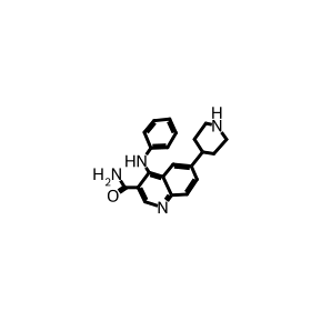 NC(=O)c1cnc2ccc(C3CCNCC3)cc2c1Nc1ccccc1